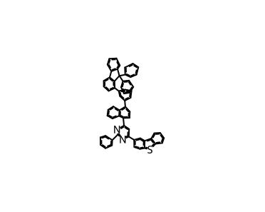 c1ccc(-c2nc(-c3ccc4sc5ccccc5c4c3)cc(-c3ccc(-c4cccc(-c5cccc6c5C(c5ccccc5)(c5ccccc5)c5ccccc5-6)c4)c4ccccc34)n2)cc1